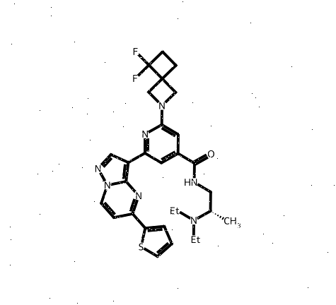 CCN(CC)[C@@H](C)CNC(=O)c1cc(-c2cnn3ccc(-c4cccs4)nc23)nc(N2CC3(CCC3(F)F)C2)c1